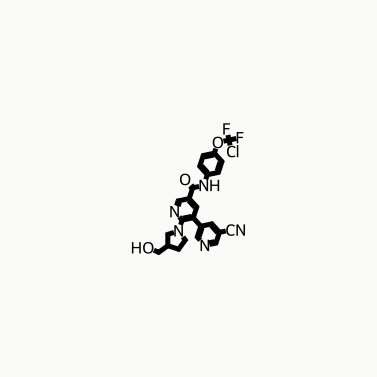 N#Cc1cncc(-c2cc(C(=O)Nc3ccc(OC(F)(F)Cl)cc3)cnc2N2CCC(CO)C2)c1